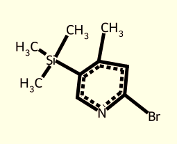 Cc1cc(Br)ncc1[Si](C)(C)C